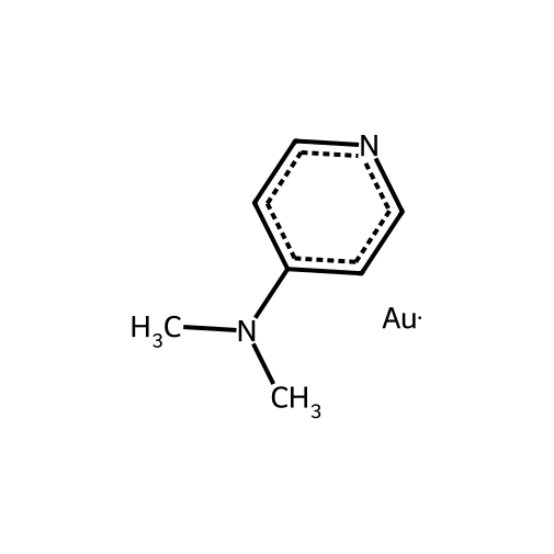 CN(C)c1ccncc1.[Au]